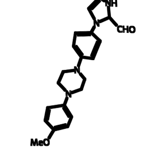 COc1ccc(N2CCN(c3ccc(N4C=CNC4C=O)cc3)CC2)cc1